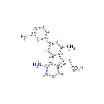 Cc1cc(-c2ccnc(C(F)(F)F)c2)cc2c3c(N)ncnc3n(CC(=O)O)c12